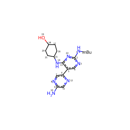 CCCCNc1ncc(-c2cnc(N)cn2)c(NC2CCC(O)CC2)n1